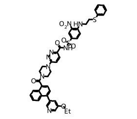 CCOc1cncc(-c2ccc(C(=O)N3CCN(c4ccc(C(=O)NS(=O)(=O)c5ccc(NCCSc6ccccc6)c([N+](=O)[O-])c5)nn4)CC3)c3ccccc23)c1